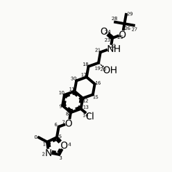 Cc1ncoc1COc1ccc2c(c1Cl)CCC(C[C@@H](O)CNC(=O)OC(C)(C)C)C2